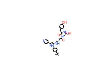 CC(C)(C)c1ccc(-n2nc(-c3ccncc3)cc2NCCCC(=O)N(CCO)C(=O)[C@@H](N)Cc2ccc(O)cc2)cc1